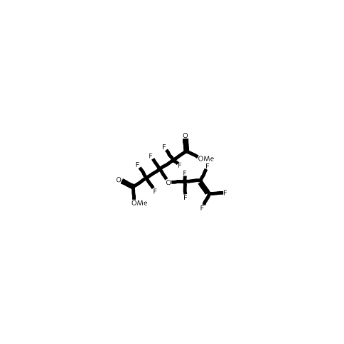 COC(=O)C(F)(F)C(F)(OC(F)(F)C(F)=C(F)F)C(F)(F)C(=O)OC